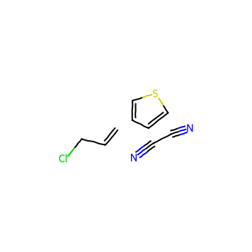 C=CCCl.N#CC#N.c1ccsc1